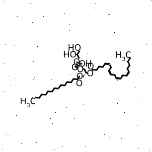 CCCCC/C=C\C/C=C\C/C=C\C/C=C\CCCC(=O)O[C@H](COC(=O)CCCCCCCCCCCCCC)COP(=O)(O)OC[C@@H](O)CO